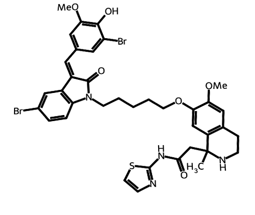 COc1cc2c(cc1OCCCCCN1C(=O)C(=Cc3cc(Br)c(O)c(OC)c3)c3cc(Br)ccc31)C(C)(CC(=O)Nc1nccs1)NCC2